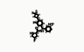 Cl.O=C(N[C@@H](c1ccccc1)c1ccc(C2CC(F)(F)C2)c(F)c1)C1CC(F)CN1